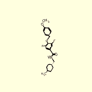 COc1ccc(COc2c(F)cc(C(=O)NC[C@H]3CC[C@H](C)CC3)cc2F)cc1